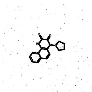 O=c1[nH]c2c3ccccc3ccc2n(C2CCCC2)c1=O